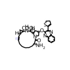 N[C@H]1CCCCC/C=C\[C@@H]2C[C@@]2(C(=O)O)NC(=O)[C@@H]2C[C@@H](Oc3nc4ccccc4nc3C3=CCCS3)CN2C1=O